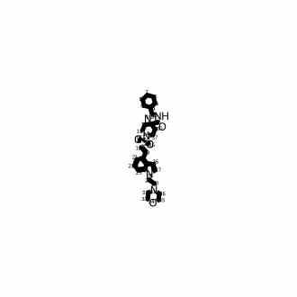 O=C1NC(C2CCCCC2)=NC12CCN(S(=O)(=O)C=Cc1cccc3c1ccn3CCN1CCOCC1)CC2